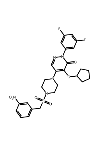 O=c1c(OC2CCCC2)c(N2CCN(S(=O)(=O)Cc3cccc([N+](=O)[O-])c3)CC2)cnn1-c1cc(F)cc(F)c1